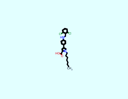 CCCCCCCCn1cc(-c2ccc(NCc3c(Cl)cccc3Cl)cc2)cc1C(=O)O